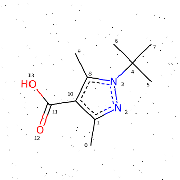 Cc1nn(C(C)(C)C)c(C)c1C(=O)O